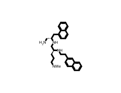 CNCCC[C@@H](CN[C@H](CN)Cc1cccc2ccccc12)NCCc1ccc2ccccc2c1